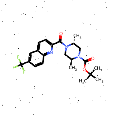 C[C@@H]1CN(C(=O)OC(C)(C)C)[C@@H](C)CN1C(=O)c1ccc2cc(C(F)(F)F)ccc2n1